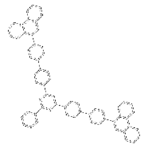 c1ccc(-c2nc(-c3ccc(-c4ccc(-c5cc6ccccc6c6ccccc56)cc4)cc3)cc(-c3ccc(-c4ccc(-c5cc6ccccc6c6ccccc56)cc4)cc3)n2)cc1